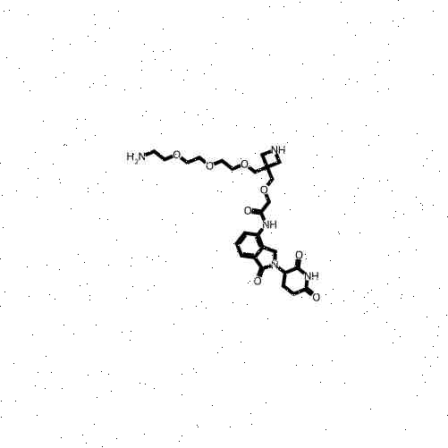 NCCOCCOCCOCC1(COCC(=O)Nc2cccc3c2CN(C2CCC(=O)NC2=O)C3=O)CNC1